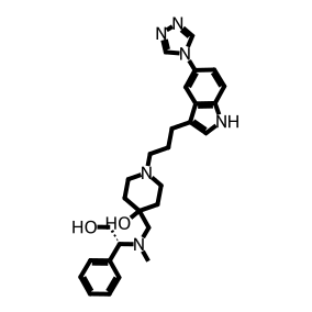 CN(CC1(O)CCN(CCCc2c[nH]c3ccc(-n4cnnc4)cc23)CC1)[C@@H](CO)c1ccccc1